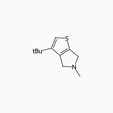 CN1Cc2scc(C(C)(C)C)c2C1